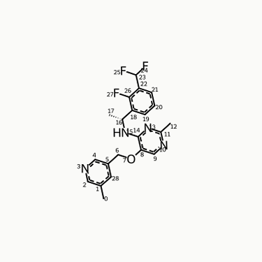 Cc1cncc(COc2cnc(C)nc2N[C@H](C)c2cccc(C(F)F)c2F)c1